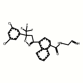 N=CCNC(=O)c1ccc(C2=NOC(c3cc(Cl)cc(Cl)c3)(C(F)(F)F)C2)c2ccccc12